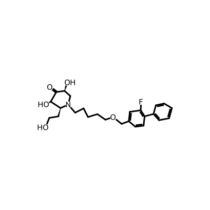 O=C1[C@@H](O)CN(CCCCCOCc2ccc(-c3ccccc3)c(F)c2)[C@@H](CCO)[C@H]1O